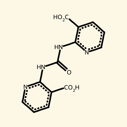 O=C(Nc1ncccc1C(=O)O)Nc1ncccc1C(=O)O